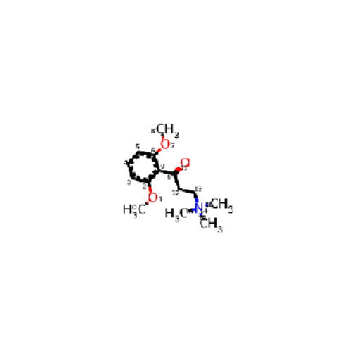 COc1cccc(OC)c1C(=O)CC[N+](C)(C)C